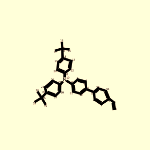 C=Cc1ccc(-c2ccc(N(c3ccc(C(C)(C)C)cc3)c3ccc(C(C)(C)C)cc3)cc2)cc1